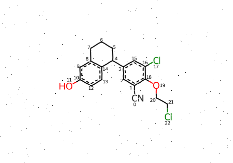 N#Cc1cc(C2CCCc3cc(O)ccc32)cc(Cl)c1OCCCl